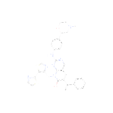 C=C(c1ccccc1)c1cc2cnc(Nc3ccc(C4CN(C)CCO4)cc3)nc2n(Cc2ncsc2-c2nccs2)c1=O